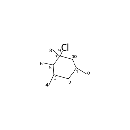 CC1CC(C)C(C)C(C)(Cl)C1